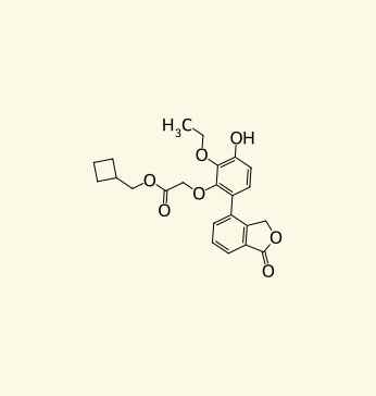 CCOc1c(O)ccc(-c2cccc3c2COC3=O)c1OCC(=O)OCC1CCC1